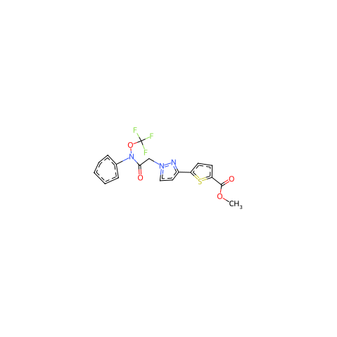 COC(=O)c1ccc(-c2ccn(CC(=O)N(OC(F)(F)F)c3ccccc3)n2)s1